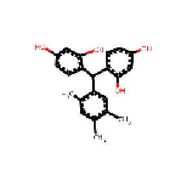 Cc1cc(C)c(C(c2ccc(O)cc2O)c2ccc(O)cc2O)cc1C